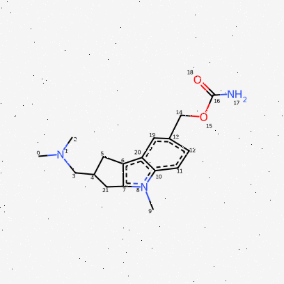 CN(C)CC1Cc2c(n(C)c3ccc(COC(N)=O)cc23)C1